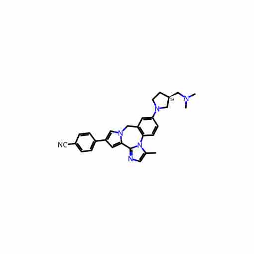 Cc1cnc2n1-c1ccc(N3CC[C@@H](CN(C)C)C3)cc1Cn1cc(-c3ccc(C#N)cc3)cc1-2